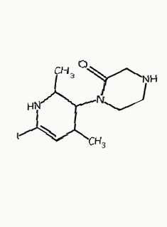 CC1C=C(I)NC(C)C1N1CCNCC1=O